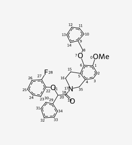 COc1ccc2c(c1OCc1ccccc1)CCN(C(=O)C(Oc1ccccc1F)c1ccccc1)C2